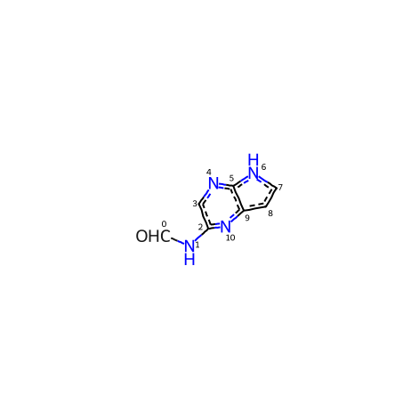 O=CNc1cnc2[nH]ccc2n1